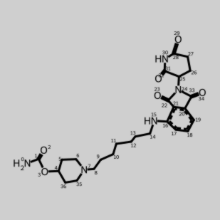 NC(=O)OC1CCN(CCCCCCCNc2cccc3c2C(=O)N(C2CCC(=O)NC2=O)C3=O)CC1